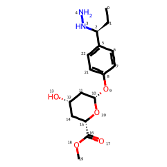 CC[C@H](NN)c1ccc(O[C@H]2C[C@@H](O)C[C@@H](C(=O)OC)O2)cc1